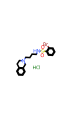 Cl.O=S(=O)(NCCCCN1CCc2ccccc2C1)c1ccccc1Br